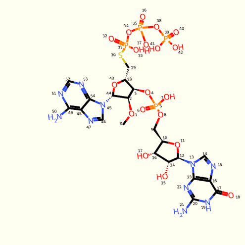 CO[C@@H]1[C@H](OP(=O)(O)OC[C@H]2O[C@@H](n3cnc4c(=O)[nH]c(N)nc43)[C@H](O)[C@@H]2O)[C@@H](CSP(=O)(O)OP(=O)(O)OP(=O)(O)O)O[C@H]1n1cnc2c(N)ncnc21